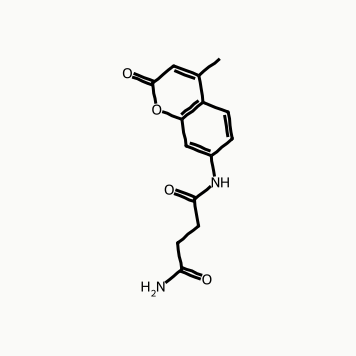 Cc1cc(=O)oc2cc(NC(=O)CCC(N)=O)ccc12